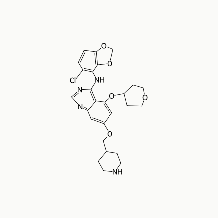 Clc1ccc2c(c1Nc1ncnc3cc(OCC4CCNCC4)cc(OC4CCOCC4)c13)OCO2